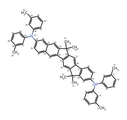 Cc1cccc(N(c2cccc(C)c2)c2ccc3c(c2)C(C)(C)c2cc4c(cc2-3)C(C)(C)c2cc3cc(N(c5cccc(C)c5)c5cccc(C)c5)ccc3cc2-4)c1